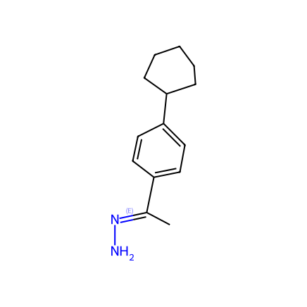 C/C(=N\N)c1ccc(C2CCCCC2)cc1